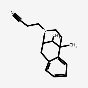 CC1C2Cc3ccccc3C1(C)CCN2CCC#N